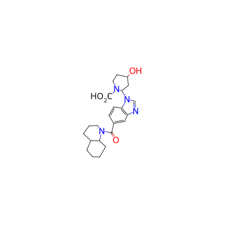 O=C(c1ccc2c(c1)ncn2C1CC(O)CCN1C(=O)O)N1CCCC2CCCCC21